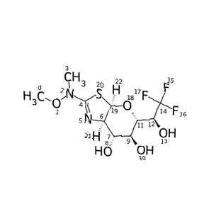 CON(C)C1=N[C@@H]2[C@@H](O)[C@H](O)[C@@H]([C@H](O)C(F)(F)F)O[C@@H]2S1